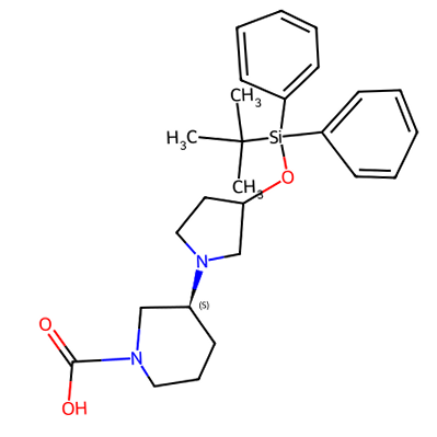 CC(C)(C)[Si](OC1CCN([C@H]2CCCN(C(=O)O)C2)C1)(c1ccccc1)c1ccccc1